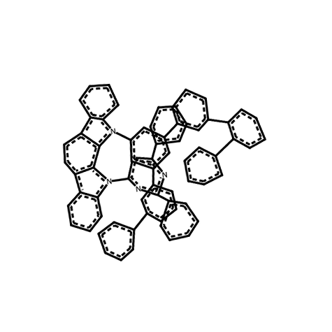 c1ccc(-c2cccc(-c3cc(-c4cccc(-c5ccccc5-c5ccccc5)c4)cc(-n4c5ccccc5c5ccc6c7ccccc7n(-c7nc(-c8ccccc8)nc(-c8ccccc8)n7)c6c54)c3)c2)cc1